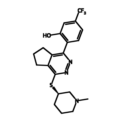 CN1CCC[C@@H](Sc2nnc(-c3ccc(C(F)(F)F)cc3O)c3c2CCC3)C1